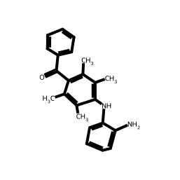 Cc1c(C)c(C(=O)c2ccccc2)c(C)c(C)c1Nc1ccccc1N